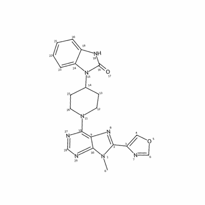 Cn1c(-c2cocn2)nc2c(N3CCC(n4c(=O)[nH]c5ccccc54)CC3)ncnc21